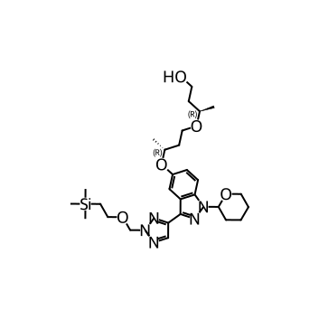 C[C@H](CCO)OCC[C@@H](C)Oc1ccc2c(c1)c(-c1cnn(COCC[Si](C)(C)C)n1)nn2C1CCCCO1